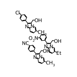 CCc1ccc2nc(-c3cccc([N+](=O)[O-])c3)c(CO)n2c1.Cc1ccc2nc(-c3ccc(C#N)cc3)c(CO)n2c1.Cc1ccc2nc(-c3ccc(Cl)cc3)c(CO)n2c1